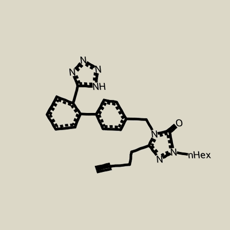 C#CCCc1nn(CCCCCC)c(=O)n1Cc1ccc(-c2ccccc2-c2nnn[nH]2)cc1